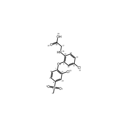 CS(=O)(=O)c1ccc(Oc2cc(Cl)ccc2NCC(=O)O)c(Cl)c1